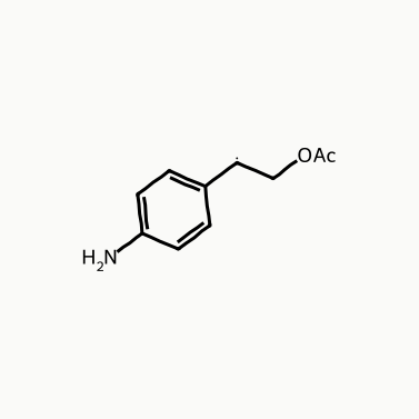 CC(=O)OC[CH]c1ccc(N)cc1